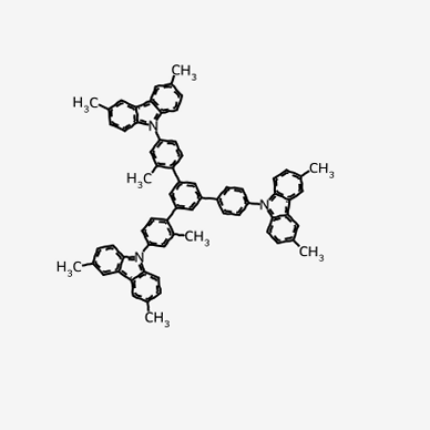 Cc1ccc2c(c1)c1cc(C)ccc1n2-c1ccc(-c2cc(-c3ccc(-n4c5ccc(C)cc5c5cc(C)ccc54)cc3C)cc(-c3ccc(-n4c5ccc(C)cc5c5cc(C)ccc54)cc3C)c2)cc1